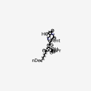 CCCCC/C=C\CC1/C(=C\C2OC2CCCC(=O)OC(COC(=O)CCCCCCCCCCCCCCC)COP(=O)(O)OCCC)C(=O)CC1O